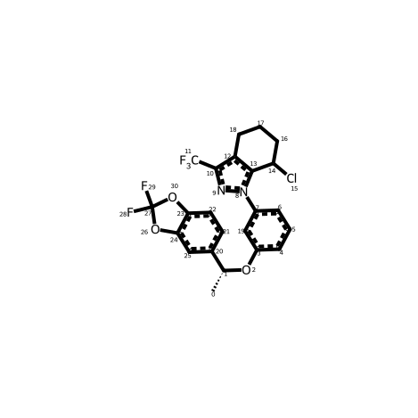 C[C@@H](Oc1cccc(-n2nc(C(F)(F)F)c3c2C(Cl)CCC3)c1)c1ccc2c(c1)OC(F)(F)O2